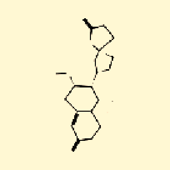 CCCC[C@H]1[C@H]([C@@H]2CC[C@@]3(CCC(=O)O3)C2)[C@H](SC(C)=O)CC2=CC(=O)CC[C@@]21C